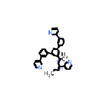 C=C/C=C(\C=C(/C)c1cc(-c2cccc(-c3cccnc3)c2)cc(-c2cccc(-c3cccnc3)c2)c1)c1cccnc1